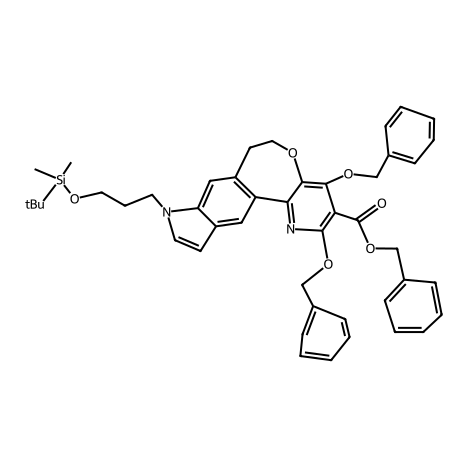 CC(C)(C)[Si](C)(C)OCCCn1ccc2cc3c(cc21)CCOc1c-3nc(OCc2ccccc2)c(C(=O)OCc2ccccc2)c1OCc1ccccc1